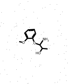 COc1ccccc1OC(N)C(C)O